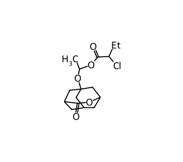 CCC(Cl)C(=O)OC(C)OC12CC3CC(C1)OC(=O)C(C3)C2